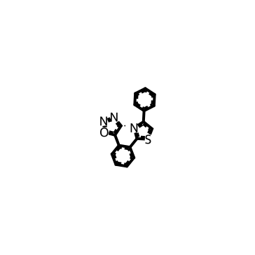 [c]1nnoc1-c1ccccc1-c1nc(-c2ccccc2)cs1